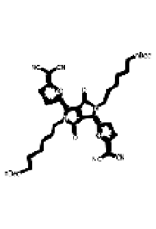 CCCCCCCCCCCCCCCCN1C(=O)C2=C(C(=O)N(CCCCCCCCCCCCCCCC)C2=c2ccc(=C(C#N)C#N)o2)C1=c1ccc(=C(C#N)C#N)o1